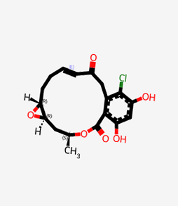 C[C@H]1C[C@H]2O[C@@H]2CC/C=C/C(=O)Cc2c(Cl)c(O)cc(O)c2C(=O)O1